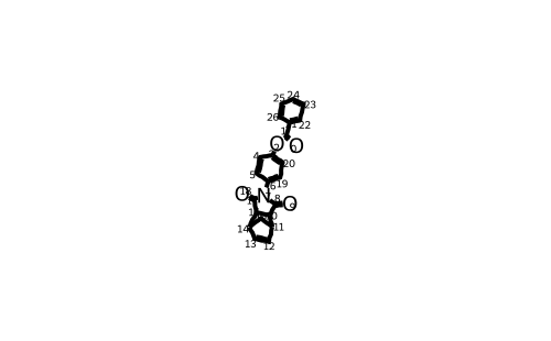 O=C(Oc1ccc(N2C(=O)C3C4C=CC(C4)C3C2=O)cc1)c1ccccc1